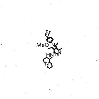 CCOc1ccc(-n2c(C)c3c(C)nnc(NCC4CCCN5CCCCC45)c3c2C)c(OC)c1